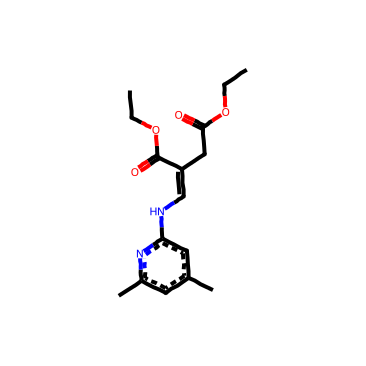 CCOC(=O)C/C(=C/Nc1cc(C)cc(C)n1)C(=O)OCC